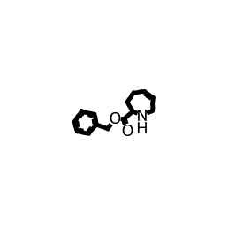 O=C(OCc1ccccc1)C1CCC=CCN1